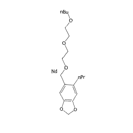 CCCCOCCOCCOCc1cc2c(cc1CCC)OCO2.[Nd]